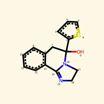 OC1(c2cccs2)Cc2ccccc2C2=NCCN21